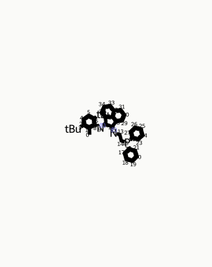 Cc1c(C(C)(C)C)ccc(C(C)(C)C)c1/N=C1/C(=N/CCP(c2ccccc2)c2ccccc2)c2cccc3cccc1c23